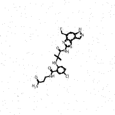 CC(C)(Nc1ccc(Cl)cc1C(=O)NCCC(N)=O)C(=O)Nc1nc2c(CF)cc3[nH]ncc3c2s1